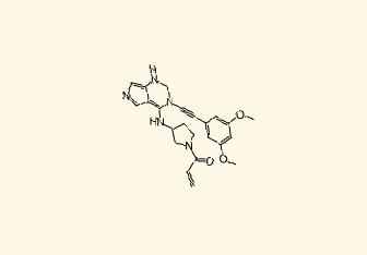 C=CC(=O)N1CCC(NC2=C3C=NC=C3NCN2C#Cc2cc(OC)cc(OC)c2)C1